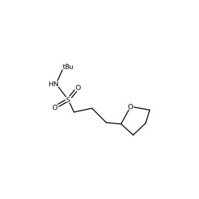 CC(C)(C)NS(=O)(=O)CCCC1CCCO1